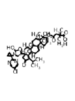 CC(C)C1=C2[C@H]3CC[C@@H]4[C@@]5(C)CC[C@H](OC(=O)CC(C)(C)C(=O)O)C(C)(C)[C@@H]5CC[C@@]4(C)[C@]3(C)CC[C@@]2([C@H]2CN(C3(c4ncc(Cl)cn4)CC3)C(O)O2)CC1=O